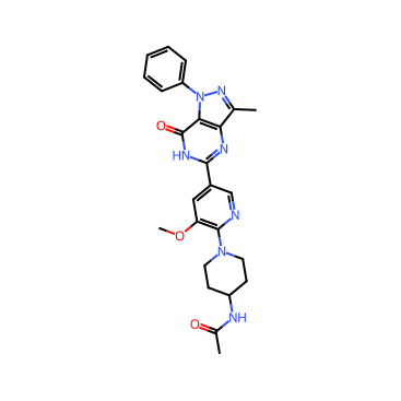 COc1cc(-c2nc3c(C)nn(-c4ccccc4)c3c(=O)[nH]2)cnc1N1CCC(NC(C)=O)CC1